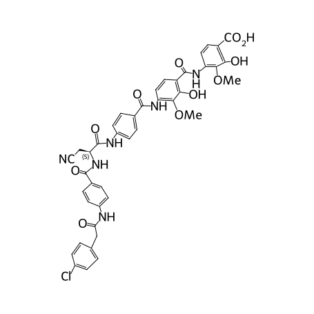 COc1c(NC(=O)c2ccc(NC(=O)c3ccc(NC(=O)[C@H](CC#N)NC(=O)c4ccc(NC(=O)Cc5ccc(Cl)cc5)cc4)cc3)c(OC)c2O)ccc(C(=O)O)c1O